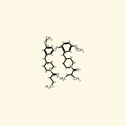 CCC(C)C(=O)N1CCC(Cc2cc(OC)ccc2F)CC1.CCCC(=O)N1CCC(Cc2cccc(OC)c2)CC1